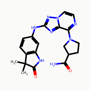 CC1(C)C(=O)Nc2cc(Nc3nc4c(N5CCC(C(N)=O)C5)nccn4n3)ccc21